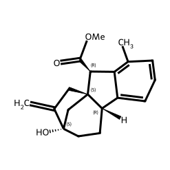 C=C1C[C@]23C[C@@]1(O)CC[C@H]2c1cccc(C)c1[C@@H]3C(=O)OC